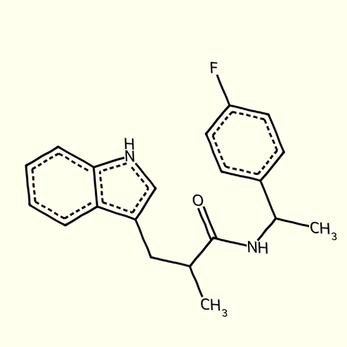 CC(Cc1c[nH]c2ccccc12)C(=O)NC(C)c1ccc(F)cc1